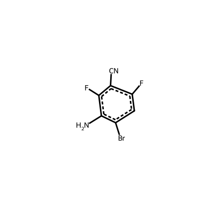 N#Cc1c(F)cc(Br)c(N)c1F